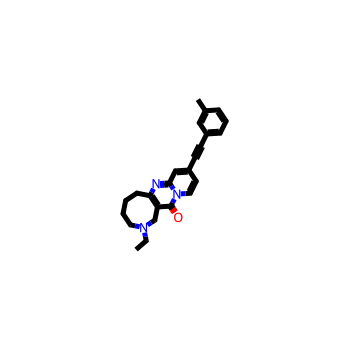 CCN1CCCCc2nc3cc(C#Cc4cccc(C)c4)ccn3c(=O)c2C1